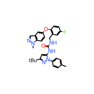 Cc1ccc(-n2nc(C(C)(C)C)cc2NC(=O)NCc2cc(F)ccc2Oc2ccc3c(cnn3C)c2)cc1